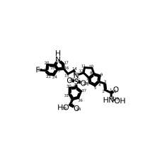 O=C(C=Cc1ccc2c(c1)CCC2N(CCc1c[nH]c2cc(F)ccc12)S(=O)(=O)c1ccc(C(=O)O)cc1)NO